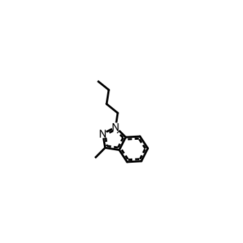 CCCCn1nc(C)c2ccccc21